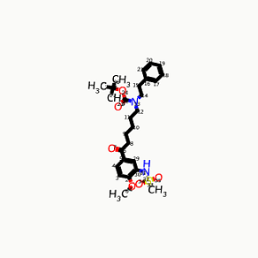 COc1ccc(C(=O)CCCCCN(CCc2ccccc2)C(=O)OC(C)(C)C)cc1NS(C)(=O)=O